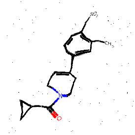 Cc1cc(C2=CCN(C(=O)C3CC3)CC2)ccc1[N+](=O)[O-]